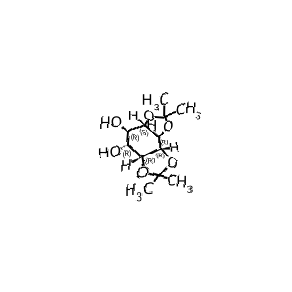 CC1(C)O[C@H]2[C@@H]3OC(C)(C)O[C@H]3[C@H](O)[C@@H](O)[C@H]2O1